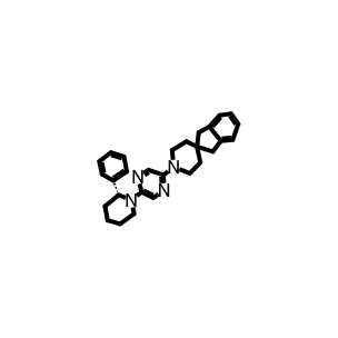 c1ccc([C@H]2CCCCN2c2cnc(N3CCC4(CC3)Cc3ccccc3C4)cn2)cc1